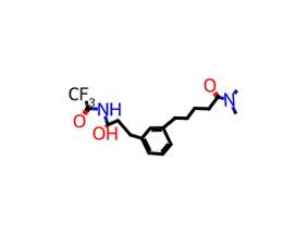 CN(C)C(=O)CCCCc1cccc(CCC(O)NC(=O)C(F)(F)F)c1